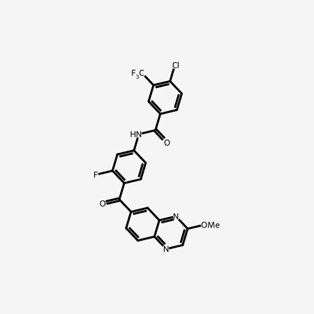 COc1cnc2ccc(C(=O)c3ccc(NC(=O)c4ccc(Cl)c(C(F)(F)F)c4)cc3F)cc2n1